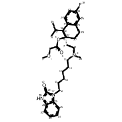 COCC(=O)O[C@]1(CCN(C)CCCCCCn2c(=O)[nH]c3ccccc32)CCc2cc(F)ccc2[C@@H]1C(C)C